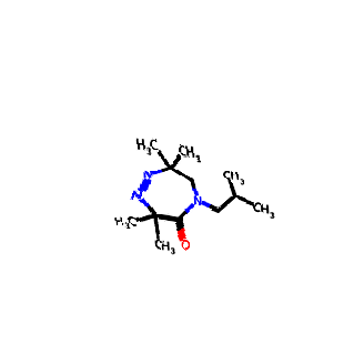 CC(C)CN1CC(C)(C)N=NC(C)(C)C1=O